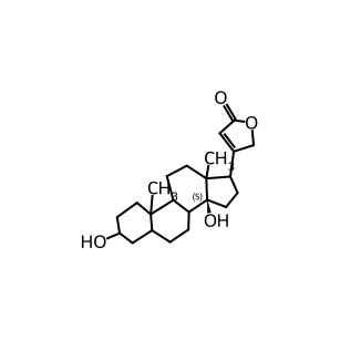 CC12CCC(O)CC1CCC1C2CCC2(C)C(C3=CC(=O)OC3)CC[C@]12O